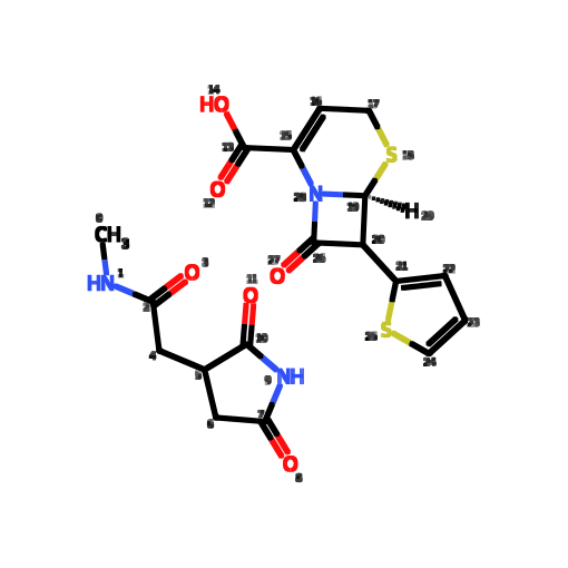 CNC(=O)CC1CC(=O)NC1=O.O=C(O)C1=CCS[C@H]2C(c3cccs3)C(=O)N12